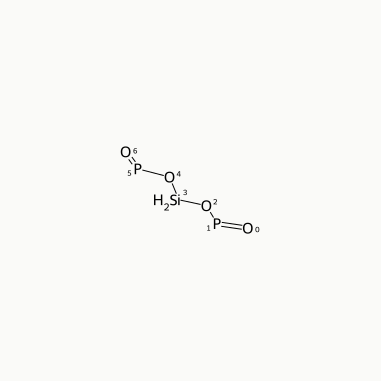 O=PO[SiH2]OP=O